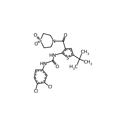 CC(C)(C)c1cc(C(=O)N2CCS(=O)(=O)CC2)c(NC(=O)Nc2ccc(Cl)c(Cl)c2)s1